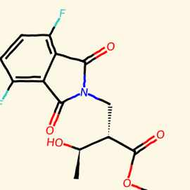 COC(=O)[C@@H](CN1C(=O)c2c(F)ccc(F)c2C1=O)[C@@H](C)O